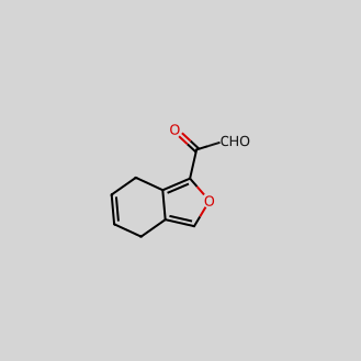 O=CC(=O)c1occ2c1CC=CC2